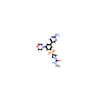 CC(C)(C)NC(=O)N1CC(S(=O)(=O)c2cc(-c3cnc(N)nc3)cc(N3CCOCC3)c2)C1